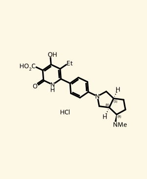 CCc1c(-c2ccc(N3C[C@H]4CC[C@@H](NC)[C@H]4C3)cc2)[nH]c(=O)c(C(=O)O)c1O.Cl